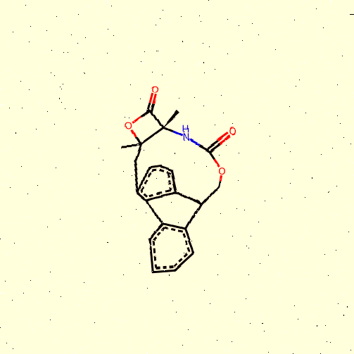 CC12Cc3cccc4c3-c3ccccc3C4COC(=O)N[C@@]1(C)C(=O)O2